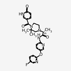 C[C@H](C(=O)Nc1ccc(Oc2ccc(F)cn2)cn1)N1CCN(C(=O)c2ccc(=O)[nH]c2)C(C)(C)C1